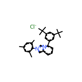 Cc1cc(C)c(-[n+]2cc3cccc(-c4cc(C(C)(C)C)cc(C(C)(C)C)c4)n3c2)c(C)c1.[Cl-]